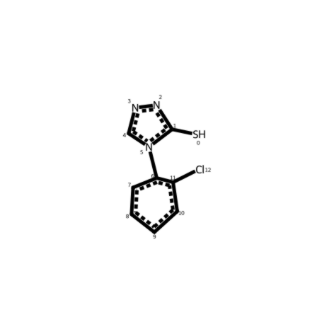 Sc1nncn1-c1ccccc1Cl